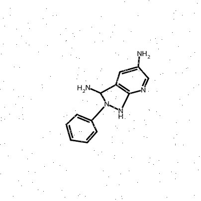 Nc1cnc2c(c1)C(N)N(c1ccccc1)N2